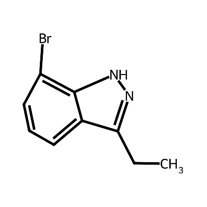 CCc1n[nH]c2c(Br)cccc12